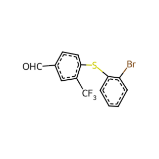 O=Cc1ccc(Sc2ccccc2Br)c(C(F)(F)F)c1